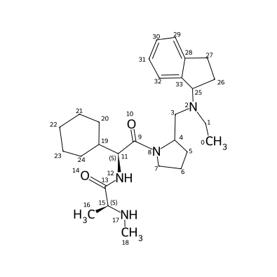 CCN(CC1CCCN1C(=O)[C@@H](NC(=O)[C@H](C)NC)C1CCCCC1)C1CCc2ccccc21